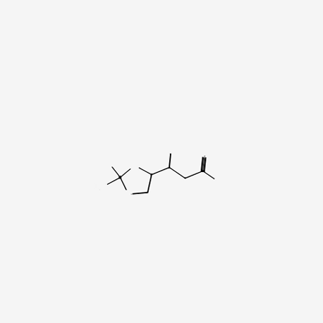 CC1(C)OCC(C(O)CC(=O)O)O1